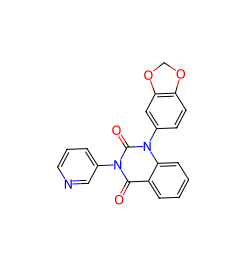 O=c1c2ccccc2n(-c2ccc3c(c2)OCO3)c(=O)n1-c1cccnc1